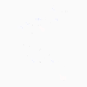 Cc1ncc(NC(=O)c2n[nH]c3ccc(-c4cncc(CN5CCC(O)CC5)c4)cc23)cn1